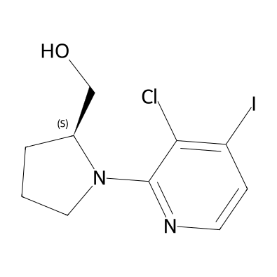 OC[C@@H]1CCCN1c1nccc(I)c1Cl